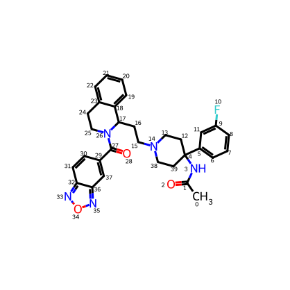 CC(=O)NC1(c2cccc(F)c2)CCN(CCC2c3ccccc3CCN2C(=O)c2ccc3nonc3c2)CC1